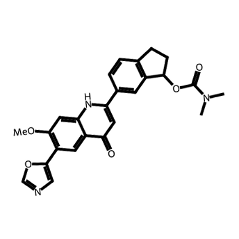 COc1cc2[nH]c(-c3ccc4c(c3)C(OC(=O)N(C)C)CC4)cc(=O)c2cc1-c1cnco1